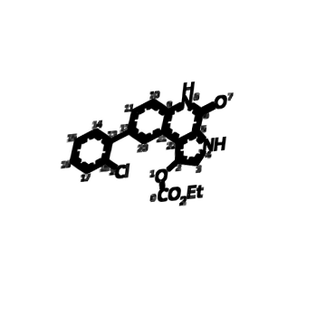 CCOC(=O)Oc1c[nH]c2c(=O)[nH]c3ccc(-c4ccccc4Cl)cc3c12